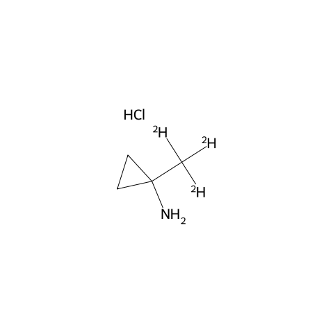 Cl.[2H]C([2H])([2H])C1(N)CC1